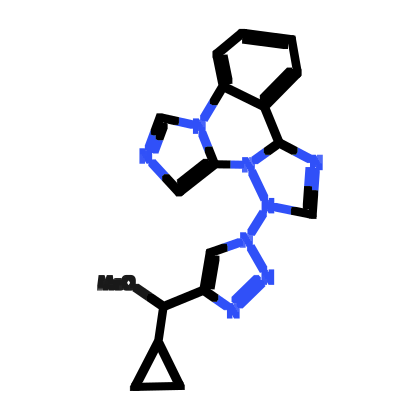 COC(c1cn(N2C=NC3c4ccccc4-n4cncc4N32)nn1)C1CC1